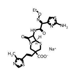 CCON=C(C(=O)NC1C(=O)N2CC(C=Cc3scnc3C)(C(=O)[O-])CS[C@H]12)c1csc(N)n1.[Na+]